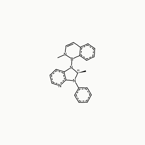 C[C@@H]1N(B2c3ccccc3C=CN2C)c2cccnc2N1c1ccccc1